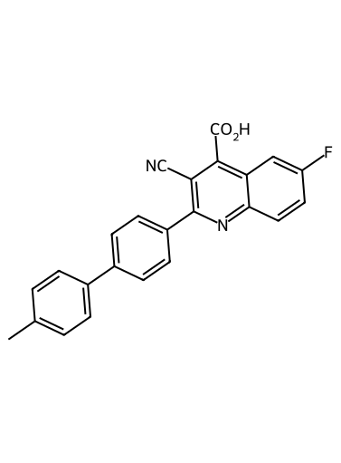 Cc1ccc(-c2ccc(-c3nc4ccc(F)cc4c(C(=O)O)c3C#N)cc2)cc1